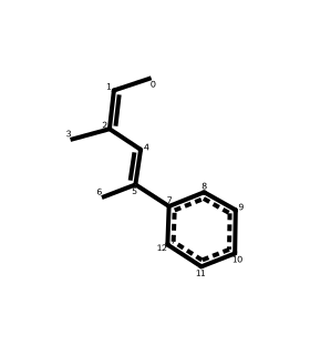 C/C=C(C)\C=C(/C)c1ccccc1